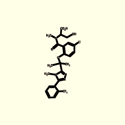 CN(C(=O)c1cc(Cl)ccc1OC(C)(C)c1nnc(-c2ccccc2C(F)(F)F)n1C)C(CO)C(=O)O